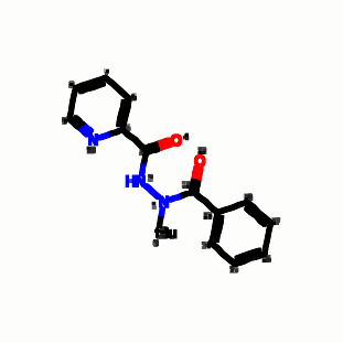 CC(C)(C)N(NC(=O)c1ccccn1)C(=O)c1ccccc1